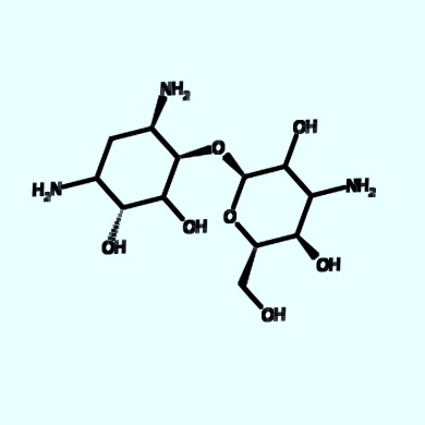 NC1C[C@@H](N)[C@@H](O[C@@H]2O[C@H](CO)[C@H](O)C(N)C2O)C(O)[C@@H]1O